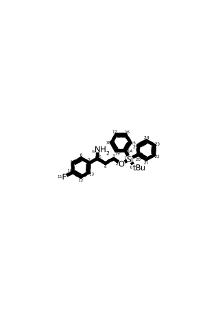 CC(C)(C)[Si](OCCC(N)c1ccc(F)cc1)(c1ccccc1)c1ccccc1